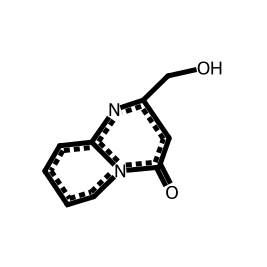 O=c1cc(CO)nc2ccccn12